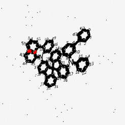 c1ccc(-c2cccc(N(c3ccccc3)c3cccc4c3-c3ccccc3C43c4ccccc4-c4ccc(N(c5ccccc5)c5ccccc5-c5ccccc5)cc43)c2)cc1